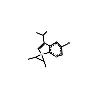 CC(C)C1=C[N+]2(c3ncc(Br)cc31)C(C)C2C